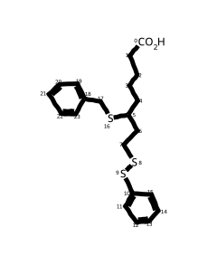 O=C(O)CCCCC(CCSSc1ccccc1)SCc1ccccc1